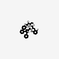 CCC(NC(=O)C(Cc1c(F)cccc1F)NC(=O)c1cc(-c2ccccc2)c(-c2ccccc2)s1)C(=O)c1nc2ccccc2o1